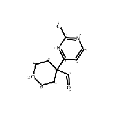 O=CC1(c2ccnc(Cl)n2)CCOCC1